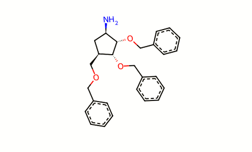 N[C@@H]1C[C@H](COCc2ccccc2)[C@@H](OCc2ccccc2)[C@H]1OCc1ccccc1